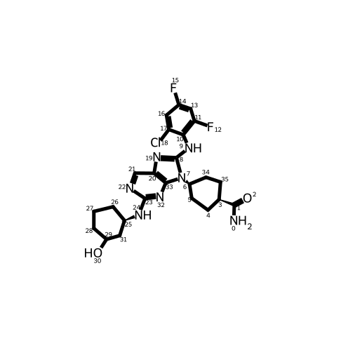 NC(=O)[C@H]1CC[C@@H](n2c(Nc3c(F)cc(F)cc3Cl)nc3cnc(N[C@@H]4CCCC(O)C4)nc32)CC1